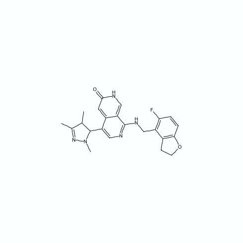 CC1=NN(C)C(c2cnc(NCc3c(F)ccc4c3CCO4)c3c[nH]c(=O)cc23)C1C